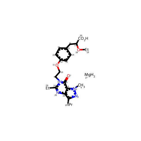 CCCc1nn(C)c2c(=O)n(CCOc3ccc(CC(OCC)C(=O)O)cc3)c(CC)nc12.[MgH2]